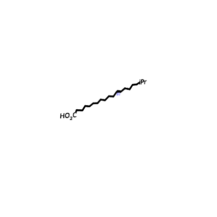 CC(C)CCCC/C=C/CCCCCCCCCCC(=O)O